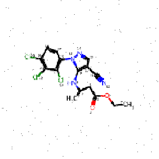 CCOC(=O)CC(C)Nc1c(C#N)cnn1-c1ccc(Cl)c(Cl)c1Cl